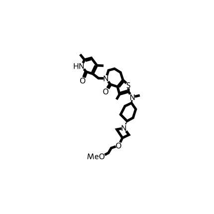 COCCOC1CN([C@H]2CC[C@H](N(C)c3sc4c(c3C)C(=O)N(Cc3c(C)cc(C)[nH]c3=O)CCC4)CC2)C1